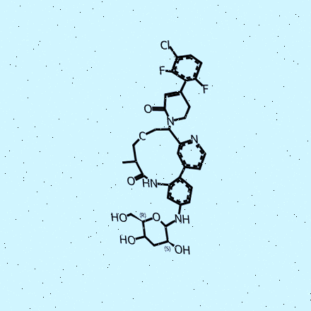 CC1CCCC(N2CCC(c3c(F)ccc(Cl)c3F)=CC2=O)c2cc(ccn2)-c2ccc(NC3O[C@H](CO)C(O)C[C@@H]3O)cc2NC1=O